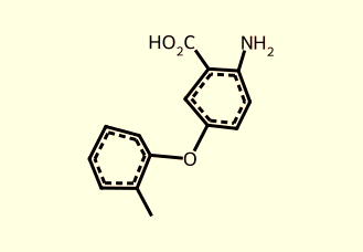 Cc1ccccc1Oc1ccc(N)c(C(=O)O)c1